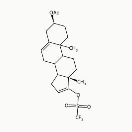 CC(=O)O[C@H]1CCC2(C)C(=CCC3C2CC[C@]2(C)C(OS(=O)(=O)C(F)(F)F)=CCC32)C1